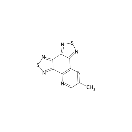 Cc1cnc2c3nsnc3c3nsnc3c2n1